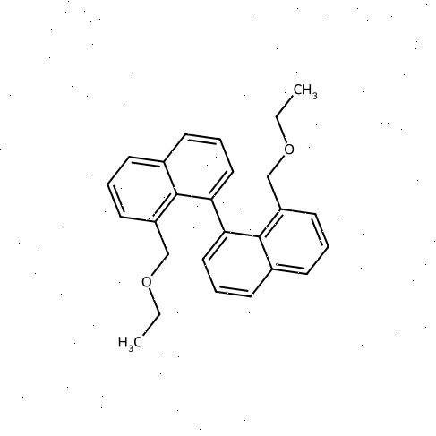 CCOCc1cccc2cccc(-c3cccc4cccc(COCC)c34)c12